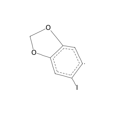 Ic1[c]cc2c(c1)OCO2